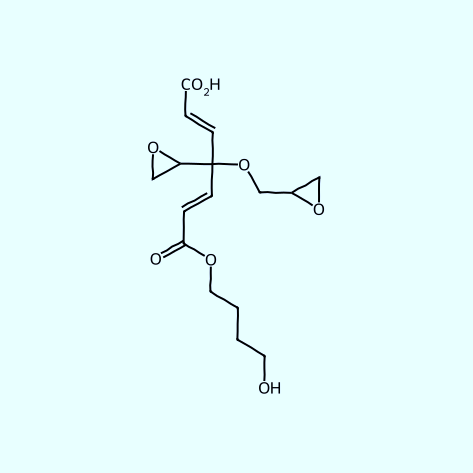 O=C(O)C=CC(C=CC(=O)OCCCCO)(OCC1CO1)C1CO1